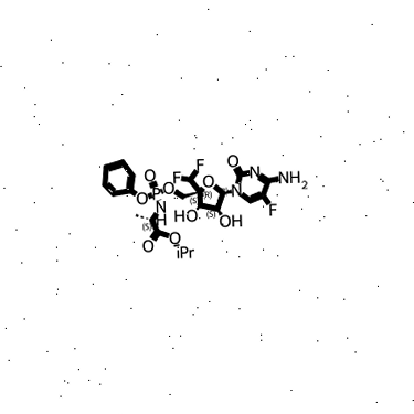 CC(C)OC(=O)[C@H](C)NP(=O)(OC[C@@]1(C(F)F)O[C@@H](n2cc(F)c(N)nc2=O)[C@@H](O)[C@@H]1O)Oc1ccccc1